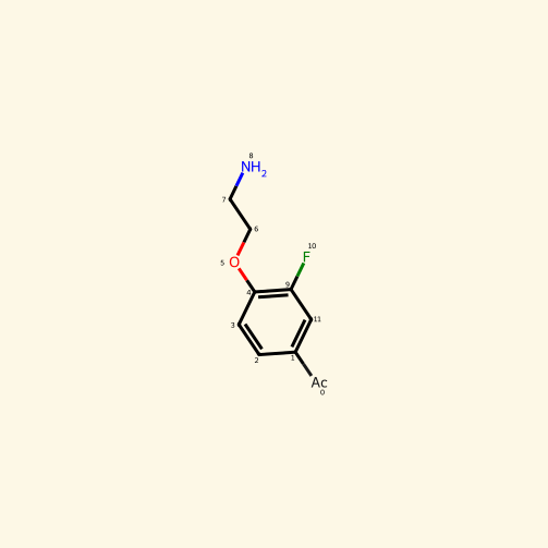 CC(=O)c1ccc(OCCN)c(F)c1